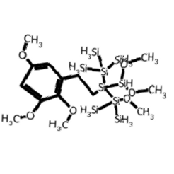 COc1cc(CC[Si]([SiH](OC)OC)([Si]([SiH3])([SiH3])[SiH3])[Si]([SiH3])([SiH3])OC)c(OC)c(OC)c1